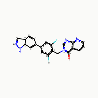 O=c1c2cccnc2ncn1Cc1c(F)cc(C2=CC3NN=CC3C=C2)cc1F